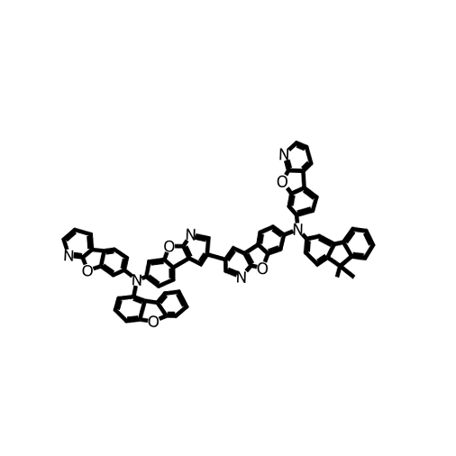 CC1(C)c2ccccc2-c2cc(N(c3ccc4c(c3)oc3ncccc34)c3ccc4c(c3)oc3ncc(-c5cnc6oc7cc(N(c8ccc9c(c8)oc8ncccc89)c8cccc9oc%10ccccc%10c89)ccc7c6c5)cc34)ccc21